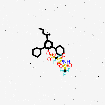 CCCC(C)c1cc(C2CCCCC2)c(OS(=O)(=O)C(F)(F)S(=O)(=O)NS(=O)(=O)C(F)(F)F)c(C2CCCCC2)c1